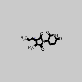 C=C/C=C1\C(=C)C(=O)N(C2CCC(=O)NC2=O)C1=O